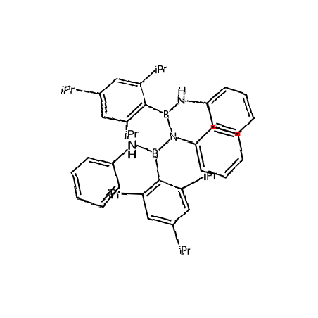 CC(C)c1cc(C(C)C)c(B(Nc2ccccc2)N(B(Nc2ccccc2)c2c(C(C)C)cc(C(C)C)cc2C(C)C)c2ccccc2)c(C(C)C)c1